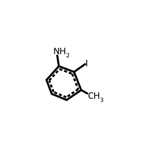 Cc1cccc(N)c1I